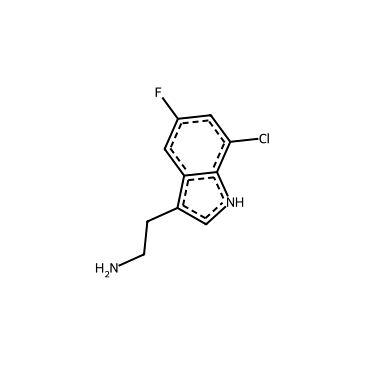 NCCc1c[nH]c2c(Cl)cc(F)cc12